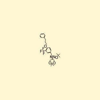 CC(C)(C)ONC1(CCc2ccc(OCCCc3ccccc3)c(C(F)(F)F)c2)COC(C)(C)OC1